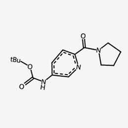 CC(C)(C)OC(=O)Nc1ccc(C(=O)N2CCCC2)nc1